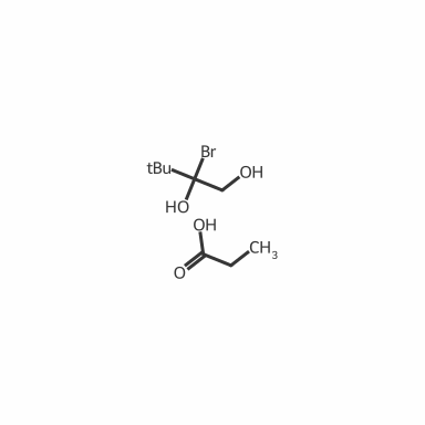 CC(C)(C)C(O)(Br)CO.CCC(=O)O